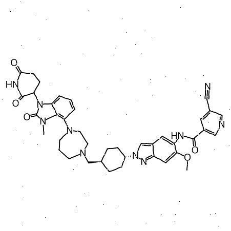 COc1cc2nn([C@H]3CC[C@H](CN4CCCN(c5cccc6c5n(C)c(=O)n6C5CCC(=O)NC5=O)CC4)CC3)cc2cc1NC(=O)c1cncc(C#N)c1